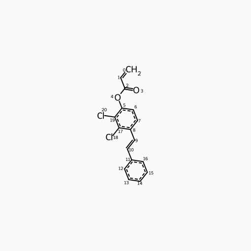 C=CC(=O)Oc1ccc(C=Cc2ccccc2)c(Cl)c1Cl